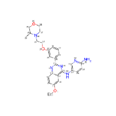 CCOc1ccc2nc(-c3cccc(OCCN4CCOCC4C)c3)nc(Nc3ccc(N)nc3)c2c1